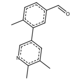 Cc1ccc(C=O)cc1-c1cnc(C)c(C)c1